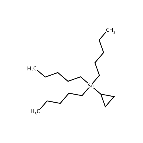 CCCC[CH2][Sn]([CH2]CCCC)([CH2]CCCC)[CH]1CC1